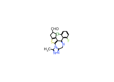 Cc1nnc2n1-c1sc3c(c1C(c1c(F)cccc1Cl)=NC2)CC(C=O)C3